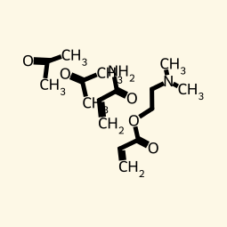 C=CC(=O)OCCN(C)C.C=CC(N)=O.CC(C)=O.CC(C)=O